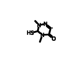 CN1N=[C]C(=O)N(C)C1S